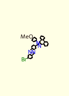 COc1ccc(-n2c(-c3ccc4c(c3)N3Cc5ccc(Br)cc5N(C4)C3)nc3c4ccccc4c4ccccc4c32)cc1